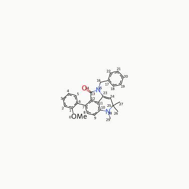 COc1ccccc1-c1ccc2c3c1C(=O)N(Cc1ccccc1)C3=CC(C)(C)N2C